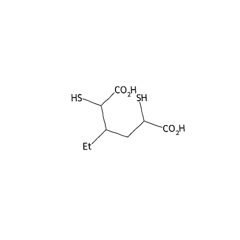 [CH2]CC(CC(S)C(=O)O)C(S)C(=O)O